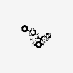 C[C@@H](S[C@H]1CO[C@H](c2ccccc2)OC1)[C@](O)(Cn1cncn1)c1cc(F)ccc1F